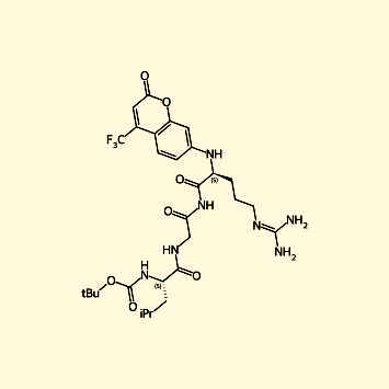 CC(C)C[C@H](NC(=O)OC(C)(C)C)C(=O)NCC(=O)NC(=O)[C@H](CCCN=C(N)N)Nc1ccc2c(C(F)(F)F)cc(=O)oc2c1